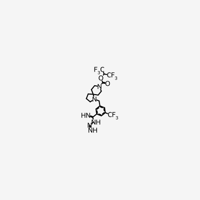 N=NNC(=N)c1cc(CN2CCCC23CCN(C(=O)OC(C(F)(F)F)C(F)(F)F)CC3)cc(C(F)(F)F)c1